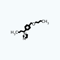 CCCCOCc1ccc(C(CCC)n2ccnc2)cc1